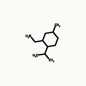 CC1CCC(C(C)C)C(CN)C1